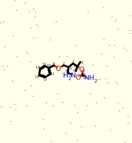 CC(C)(CC(CN)COCc1ccccc1)OC(N)=O